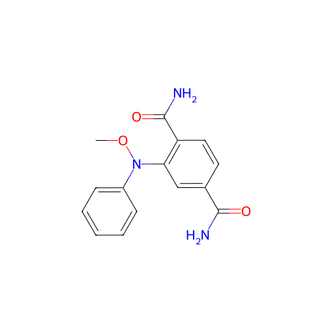 CON(c1ccccc1)c1cc(C(N)=O)ccc1C(N)=O